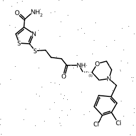 NC(=O)c1csc(SCCCC(=O)NC[C@H]2CN(Cc3ccc(Cl)c(Cl)c3)CCO2)n1